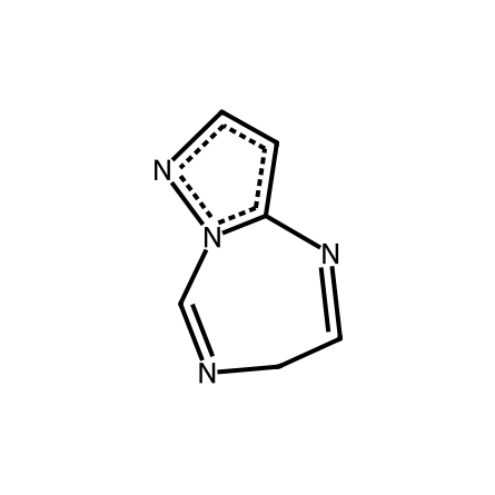 C1=NCC=Nc2ccnn21